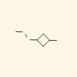 N#CC1CC(OSI)C1